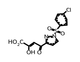 O=C(O)C(O)=CC(=O)c1ccn(S(=O)(=O)c2ccc(Cl)cc2)n1